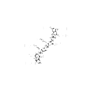 CC(=O)Nc1cc(N=Nc2cc(OCCCS(=O)(=O)O)c(N=Nc3c(C)c(C#N)c4nc5c(S(=O)(=O)O)cc(C)cc5n4c3O)cc2C)c(SCCCS(=O)(=O)O)cc1N=Nc1nc2c(S(=O)(=O)O)cc3c(S(=O)(=O)O)cc(S(=O)(=O)O)cc3c2s1